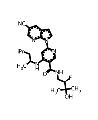 CC(C)CC(C)Nc1cc(-n2ccc3cc(C#N)cnc32)ncc1C(=O)NC[C@@H](F)C(C)(C)O